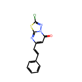 O=c1cc(/C=C/c2ccccc2)nc2sc(Cl)nn12